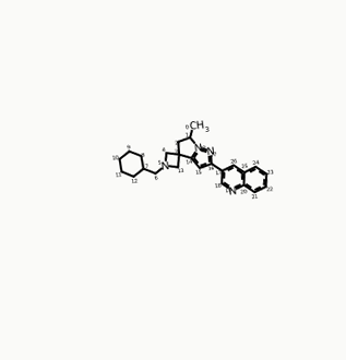 CC1CC2(CN(CC3CCCCC3)C2)c2cc(-c3cnc4ccccc4c3)nn21